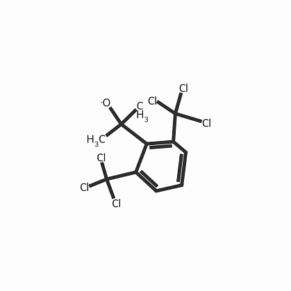 CC(C)([O])c1c(C(Cl)(Cl)Cl)cccc1C(Cl)(Cl)Cl